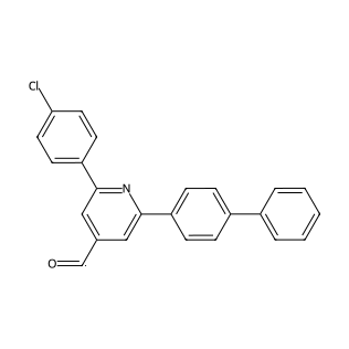 O=[C]c1cc(-c2ccc(Cl)cc2)nc(-c2ccc(-c3ccccc3)cc2)c1